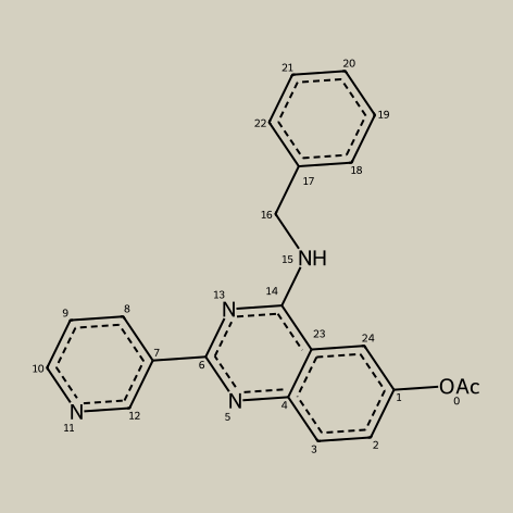 CC(=O)Oc1ccc2nc(-c3cccnc3)nc(NCc3ccccc3)c2c1